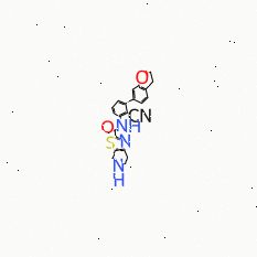 N#Cc1c(NC(=O)c2nc3c(s2)CNCC3)cccc1-c1ccc2c(c1)OCC2